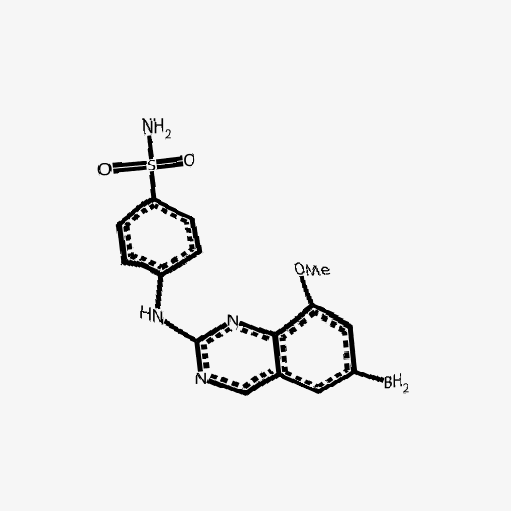 Bc1cc(OC)c2nc(Nc3ccc(S(N)(=O)=O)cc3)ncc2c1